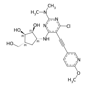 COc1ccc(C#Cc2c(Cl)nc(N(C)C)nc2N[C@@H]2C[C@H](CO)[C@@H](O)[C@H]2O)cn1